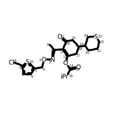 CC(=NOCc1ccc(Cl)s1)C1=C(OC(=O)C(C)C)CC(C2CCCSC2)CC1=O